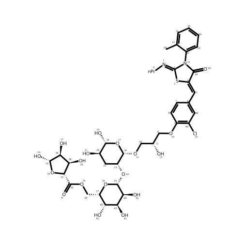 CCC/N=C1\S/C(=C\c2ccc(OC[C@H](O)CO[C@H]3O[C@@H](O)[C@H](O)C[C@H]3O[C@H]3O[C@@H](COC(=O)[C@@H]4O[C@H](O)[C@@H](O)[C@H]4O)[C@@H](O)[C@H](O)[C@@H]3O)c(Cl)c2)C(=O)N1c1ccccc1C